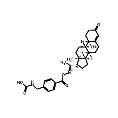 C/C(=N\OC(=O)c1ccc(CNC(=O)O)cc1)[C@H]1CC[C@H]2[C@@H]3CCC4=CC(=O)CC[C@]4(C)[C@H]3CC[C@]12C